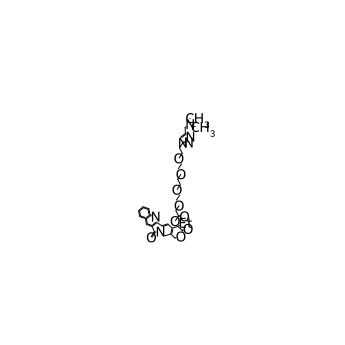 CC[C@@]1(OC(=O)COCCOCCOCCOCCn2cc(CN(C)C)nn2)C(=O)OCC2=C1C=C1c3nc4ccccc4cc3C(=O)N1C2